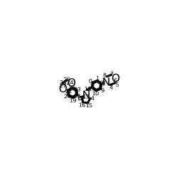 c1cc(N2CCOCC2)ccc1CN1CCC[C@H]1c1ccc2c(c1)OCCO2